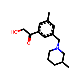 Cc1cc(CN2CCCC(C)C2)cc(C(=O)CO)c1